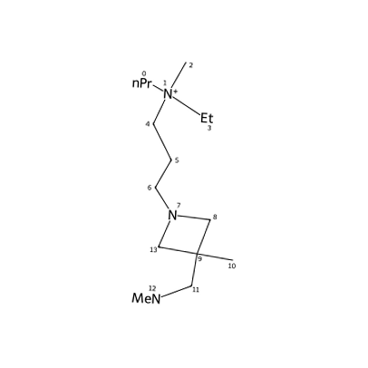 CCC[N+](C)(CC)CCCN1CC(C)(CNC)C1